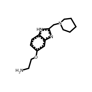 NCCOc1ccc2[nH]c(CN3CCCCC3)nc2c1